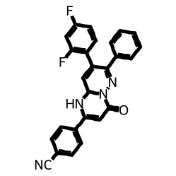 N#Cc1ccc(C2=CC(=O)N3N=C(c4ccccc4)C(c4ccc(F)cc4F)=CC3N2)cc1